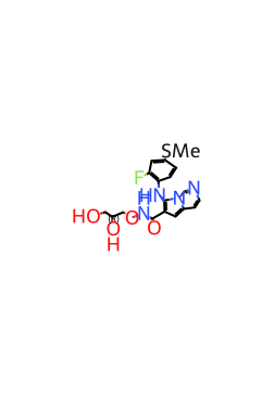 CSc1ccc(Nc2c(C(=O)NOC[C@H](O)CO)cc3ccncn23)c(F)c1